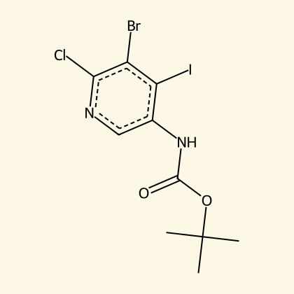 CC(C)(C)OC(=O)Nc1cnc(Cl)c(Br)c1I